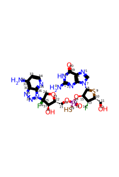 Nc1nc2c(ncn2[C@@H]2S[C@H](CO)[C@H](F)[C@H]2OP(=O)(S)OC[C@H]2OCC(F)(n3nnc4c(N)ccnc43)[C@@H]2O)c(=O)[nH]1